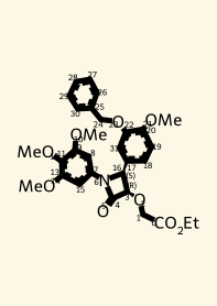 CCOC(=O)CO[C@H]1C(=O)N(c2cc(OC)c(OC)c(OC)c2)[C@H]1c1ccc(OC)c(OCc2ccccc2)c1